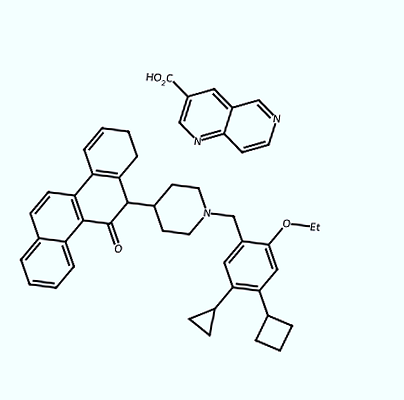 CCOc1cc(C2CCC2)c(C2CC2)cc1CN1CCC(C2C(=O)c3c(ccc4ccccc34)C3=C2CCC=C3)CC1.O=C(O)c1cnc2ccncc2c1